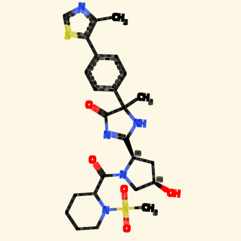 Cc1ncsc1-c1ccc(C2(C)NC([C@H]3C[C@@H](O)CN3C(=O)C3CCCCN3S(C)(=O)=O)=NC2=O)cc1